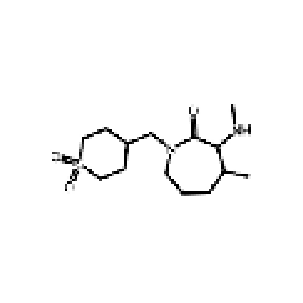 CNC1C(=O)N(CC2CCS(=O)(=O)CC2)CCCC1C